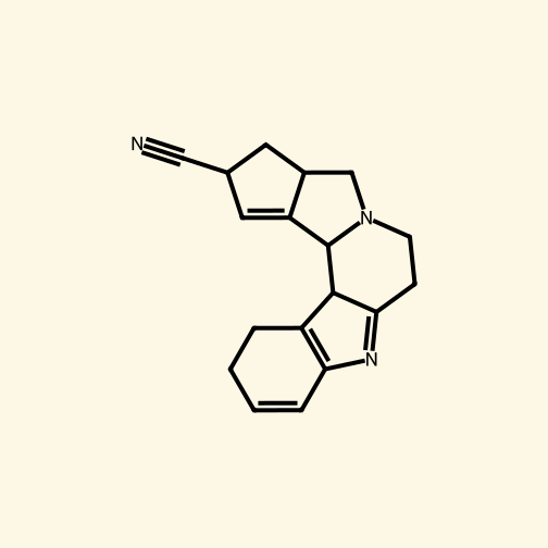 N#CC1C=C2C(C1)CN1CCC3=NC4=C(CCC=C4)C3C21